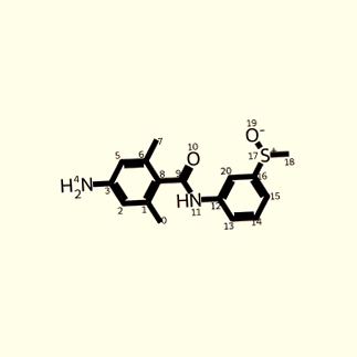 Cc1cc(N)cc(C)c1C(=O)Nc1cccc([S+](C)[O-])c1